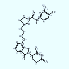 O=C1CCC(N2Cc3c(OCCCC4CCN(C(=O)Nc5ccc(F)c(C(F)(F)F)c5)C4)cccc3C2=O)C(=O)N1